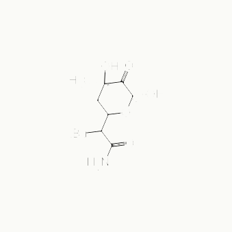 CC(C)(C)C(C(N)=O)C1C[C@@](C)(O)C(=O)[C@H](O)O1